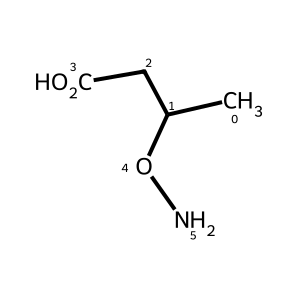 CC(CC(=O)O)ON